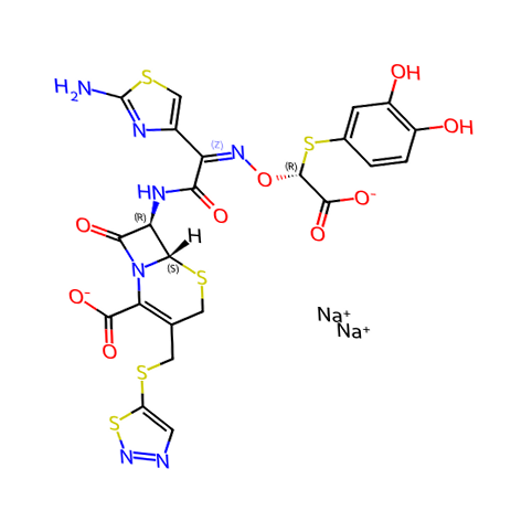 Nc1nc(/C(=N/O[C@H](Sc2ccc(O)c(O)c2)C(=O)[O-])C(=O)N[C@@H]2C(=O)N3C(C(=O)[O-])=C(CSc4cnns4)CS[C@@H]23)cs1.[Na+].[Na+]